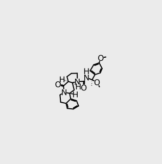 COc1ccc([C@](C)(NC(=O)N2CCC[C@@H]3C(=O)N4CCc5ccccc5[C@H]4C[C@@H]32)OC)cc1